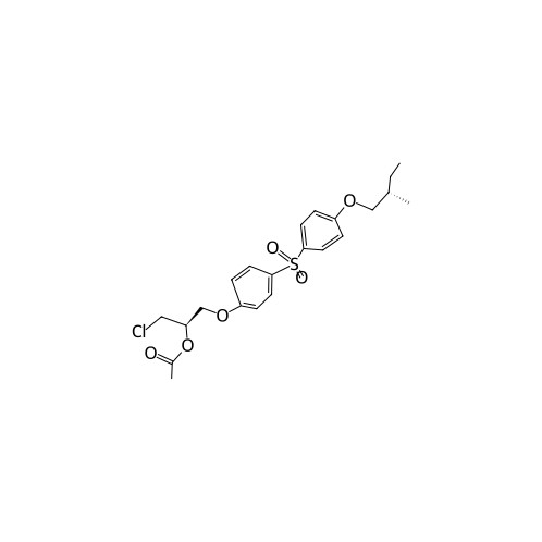 CC[C@H](C)COc1ccc(S(=O)(=O)c2ccc(OC[C@H](CCl)OC(C)=O)cc2)cc1